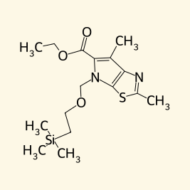 CCOC(=O)c1c(C)c2nc(C)sc2n1COCC[Si](C)(C)C